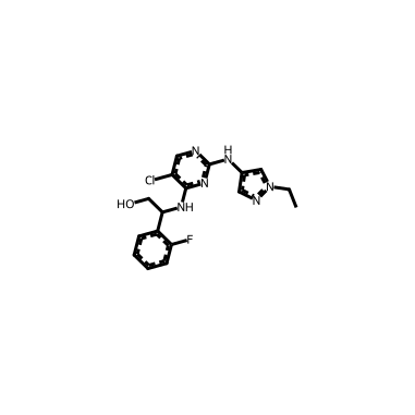 CCn1cc(Nc2ncc(Cl)c(NC(CO)c3ccccc3F)n2)cn1